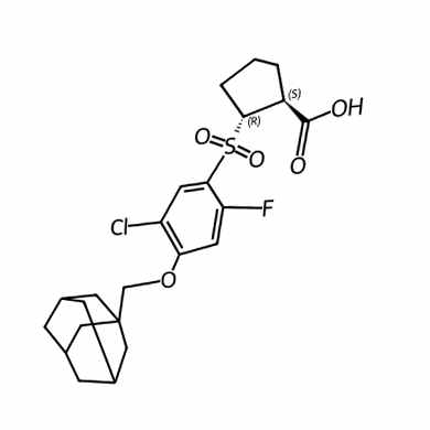 O=C(O)[C@@H]1CCC[C@H]1S(=O)(=O)c1cc(Cl)c(OCC23CC4CC(CC(C4)C2)C3)cc1F